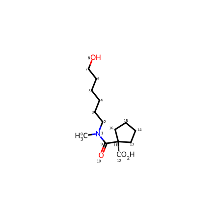 CN(CCCCCCO)C(=O)C1(C(=O)O)CCCC1